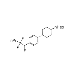 CCCCCC[C@H]1CC[C@H](c2ccc(C(F)C(F)(F)CCC)cc2)CC1